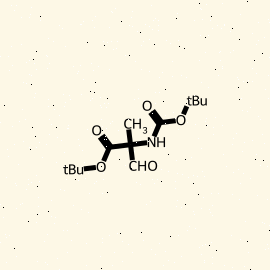 CC(C)(C)OC(=O)NC(C)(C=O)C(=O)OC(C)(C)C